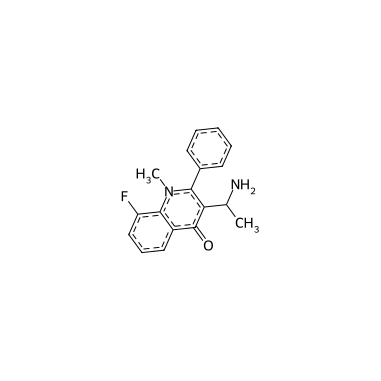 CC(N)c1c(-c2ccccc2)n(C)c2c(F)cccc2c1=O